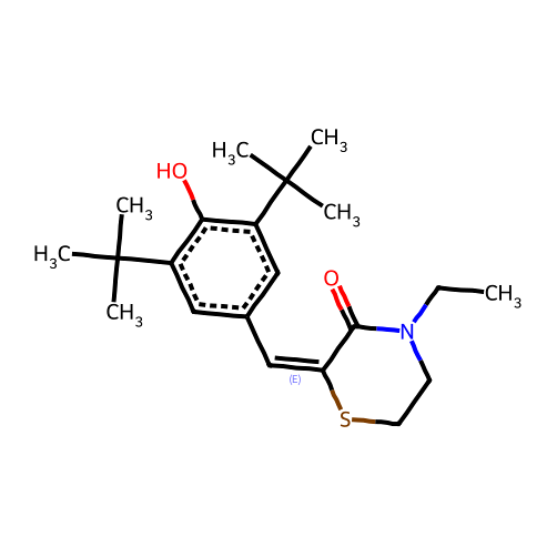 CCN1CCS/C(=C/c2cc(C(C)(C)C)c(O)c(C(C)(C)C)c2)C1=O